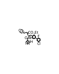 CCOC(=O)[C@H](CCN1CCOCC1)C[C@@H](Cc1ccc(-c2cc(Cl)ccc2F)cc1)NC(=O)c1cnn[nH]1